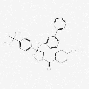 O=C(O)C1CCC(C(=O)N2CCC(Sc3cccc(-c4ccccn4)c3)(c3ccc(C(F)(C(F)(F)F)C(F)(F)F)cc3)C2)CC1